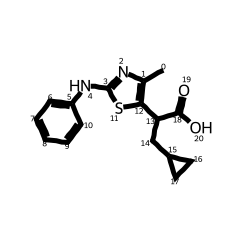 Cc1nc(Nc2ccccc2)sc1C(CC1CC1)C(=O)O